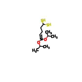 CC(C)O[SiH](CCCC(S)S)OC(C)C